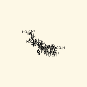 CC[C@H](C)[C@H](NC(=O)[C@H](CCC(=O)O)NC(=O)[C@H](CS)NC(=O)[C@@H](NC(=O)CNC(=O)[C@@H]1CCCN1)[C@@H](C)O)C(=O)NCC(=O)N[C@@H](CS)C(=O)N[C@@H](C)C(=O)N[C@@H](Cc1ccc(O)cc1)C(=O)N[C@@H](C)C(=O)N[C@@H](C)C(=O)N[C@@H](CS)C(=O)N[C@H](C(=O)NCC(=O)NCC(=O)N[C@@H](CS)C(=O)O)[C@@H](C)O